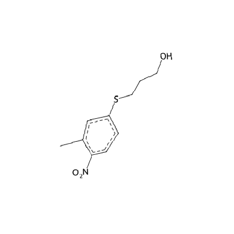 Cc1cc(SCCCO)ccc1[N+](=O)[O-]